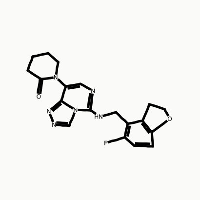 O=C1CCCCN1c1cnc(NCc2c(F)ccc3c2CCO3)n2cnnc12